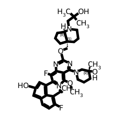 C#Cc1c(F)ccc2cc(O)cc(-c3nc(OC)c4c(N5CCC[C@@](C)(O)C5)nc(OC[C@]56CCC[C@H]5N(CC(C)(C)O)CCC6)nc4c3F)c12